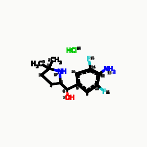 CC1(C)CCC([C@@H](O)c2cc(F)c(N)c(F)c2)N1.Cl